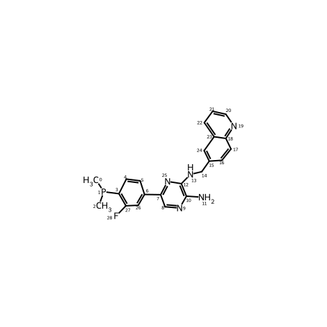 CP(C)c1ccc(-c2cnc(N)c(NCc3ccc4ncccc4c3)n2)cc1F